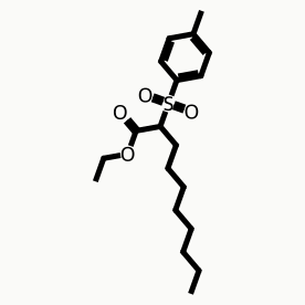 CCCCCCCCC(C(=O)OCC)S(=O)(=O)c1ccc(C)cc1